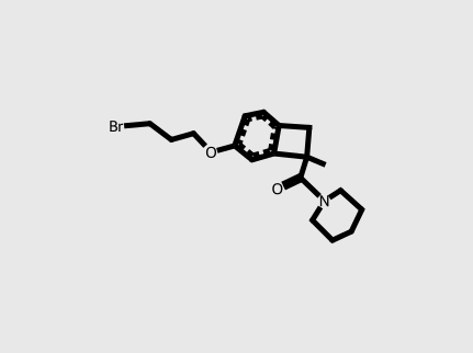 CC1(C(=O)N2CCCCC2)Cc2ccc(OCCCBr)cc21